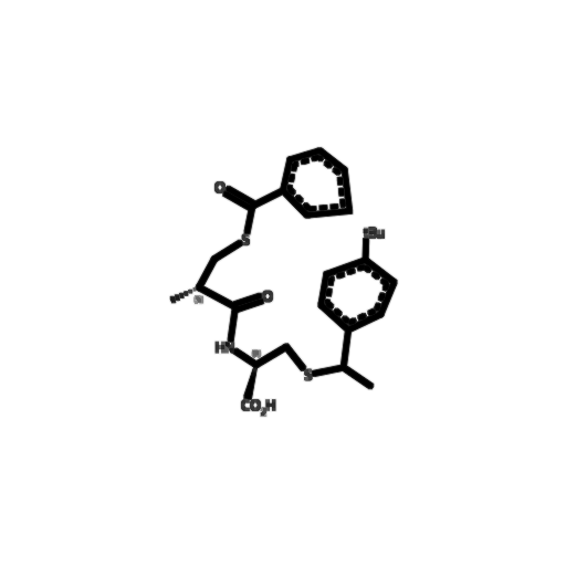 CC(SC[C@H](NC(=O)[C@H](C)CSC(=O)c1ccccc1)C(=O)O)c1ccc(C(C)(C)C)cc1